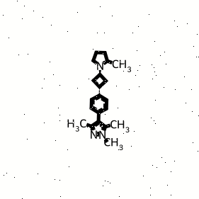 Cc1nn(C)c(C)c1-c1ccc([C@H]2C[C@H](N3CCCC3C)C2)cc1